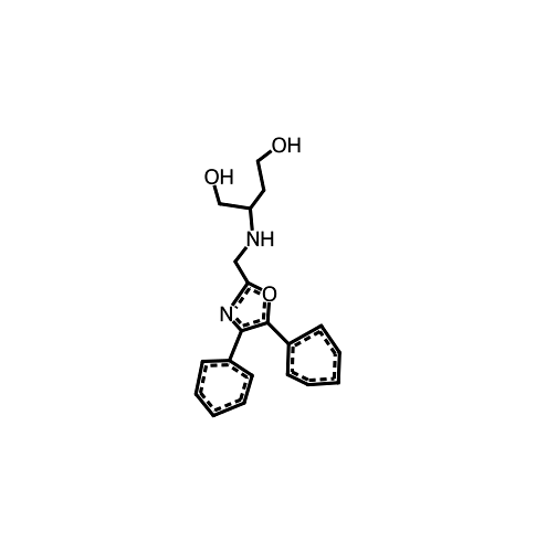 OCCC(CO)NCc1nc(-c2ccccc2)c(-c2ccccc2)o1